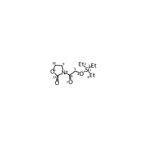 CC[Si](CC)(CC)OCC(=O)N1CCOC1=O